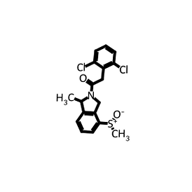 CC1c2cccc([S+](C)[O-])c2CN1C(=O)Cc1c(Cl)cccc1Cl